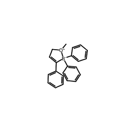 C[O+]1CC=C(c2ccccc2)[B-]1(c1ccccc1)c1ccccc1